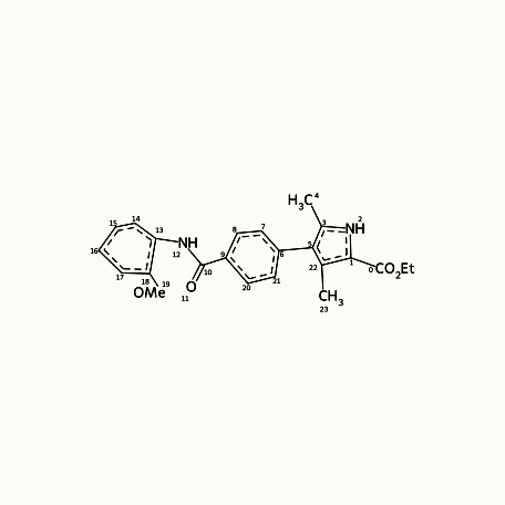 CCOC(=O)c1[nH]c(C)c(-c2ccc(C(=O)Nc3ccccc3OC)cc2)c1C